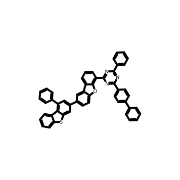 c1ccc(-c2ccc(-c3nc(-c4ccccc4)nc(-c4cccc5c4oc4ccc(-c6cc(-c7ccccc7)c7c(c6)sc6ccccc67)cc45)n3)cc2)cc1